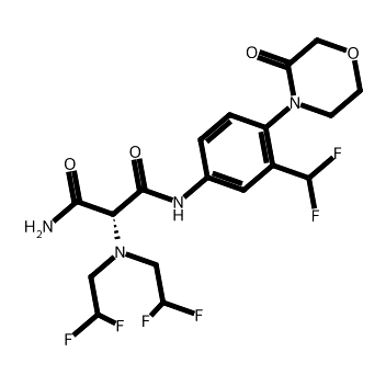 NC(=O)[C@H](C(=O)Nc1ccc(N2CCOCC2=O)c(C(F)F)c1)N(CC(F)F)CC(F)F